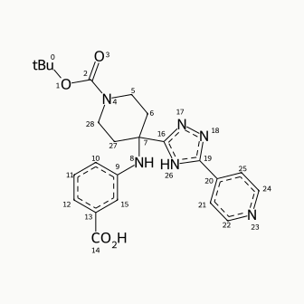 CC(C)(C)OC(=O)N1CCC(Nc2cccc(C(=O)O)c2)(c2nnc(-c3ccncc3)[nH]2)CC1